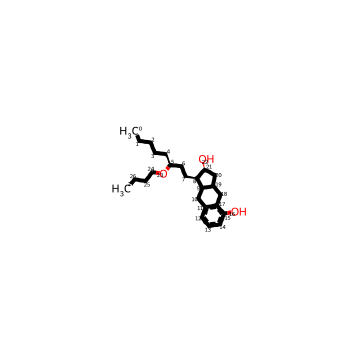 CCCCC[C@@H](CC[C@@H]1C2Cc3cccc(O)c3CC2C[C@H]1O)OCCCC